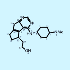 CN[C@H]1CC[C@H](Nc2ncnc3sc4c(c23)[C@@H](CCO)CC4)CC1